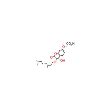 CC(C)=CCCC(C)=CCOc1c(O)c2ccc(OCC(=O)O)cc2oc1=O